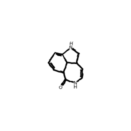 O=C1NC=CC2CNC3=CC=CC1C32